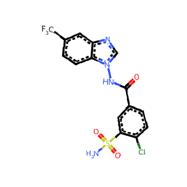 NS(=O)(=O)c1cc(C(=O)Nn2cnc3cc(C(F)(F)F)ccc32)ccc1Cl